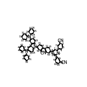 N#Cc1cccc(-c2cc(-c3ccc(-c4ccc(-n5c6ccc(N(c7ccccc7)c7ccccc7)cc6c6cc(N(c7ccccc7)c7ccccc7)ccc65)cc4C#N)cc3)nc(-c3cccc(C#N)c3)n2)c1